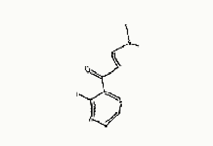 CN(C)C=CC(=O)c1cccnc1I